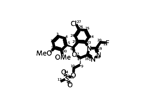 COc1cccc([C@@H]2O[C@@H](CCOS(C)(=O)=O)c3nnc(CF)n3-c3ccc(Cl)cc32)c1OC